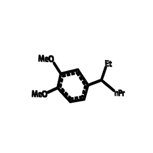 CCCC(CC)c1ccc(OC)c(OC)c1